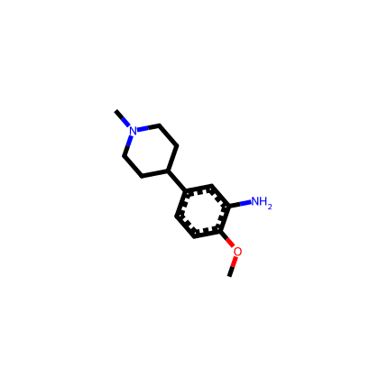 COc1ccc(C2CCN(C)CC2)cc1N